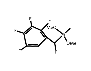 CO[Si](C)(OC)C(F)c1cc(F)c(F)c(F)c1F